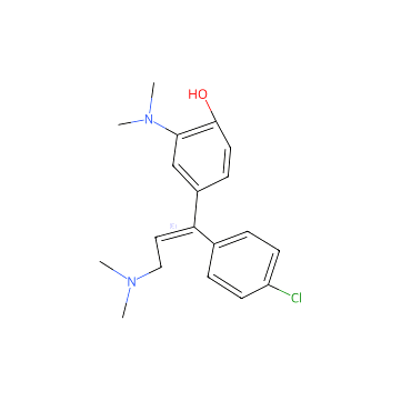 CN(C)C/C=C(\c1ccc(Cl)cc1)c1ccc(O)c(N(C)C)c1